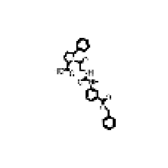 O=C(NCC(=O)N1C(C(=O)O)CCC1c1ccccc1)Nc1cccc(C(=O)OCc2ccccc2)c1